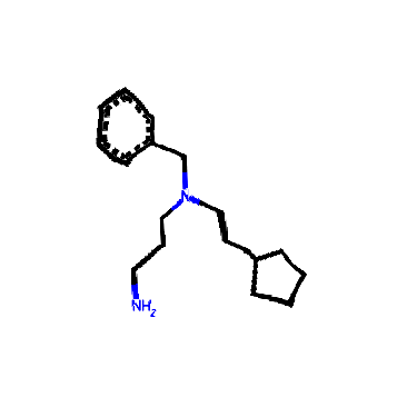 NCCCN(CCC1CCCC1)Cc1ccccc1